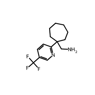 NCC1(c2ccc(C(F)(F)F)cn2)CCCCCC1